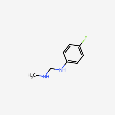 CNCNc1ccc(F)cc1